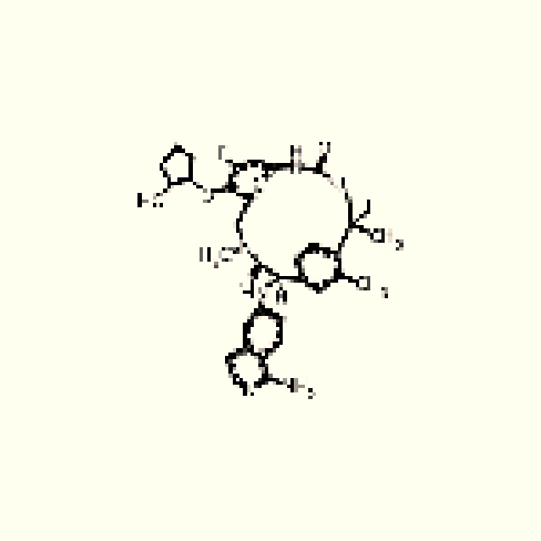 Cc1cc2ccc1[C@@H](C)COC(=O)Nc1cc(F)c(O[C@@H]3CCC[C@@H]3O)c(c1)CN(C)C(=O)[C@@H]2Nc1ccc2c(N)nccc2c1